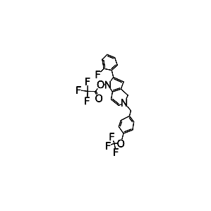 O=C(On1c(-c2ccccc2F)cc2c1C=CN(Cc1ccc(OC(F)(F)F)cc1)C2)C(F)(F)F